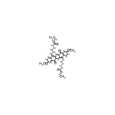 CCOC(=O)CCCCCn1c2ccc(OC)cc2c(=O)c2cc3c(cc21)c(=O)c1cc(OC)ccc1n3CCCCCC(=O)OCC